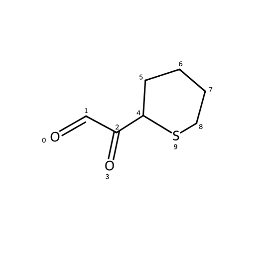 O=CC(=O)C1CCCCS1